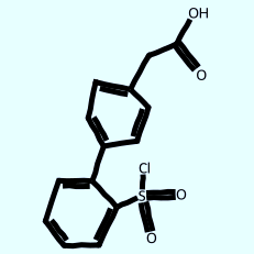 O=C(O)Cc1ccc(-c2ccccc2S(=O)(=O)Cl)cc1